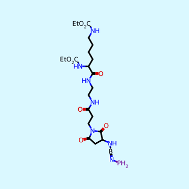 CCOC(=O)NCCCCC(NC(=O)OCC)C(=O)NCCNC(=O)CCN1C(=O)CC(N/B=N/P)C1=O